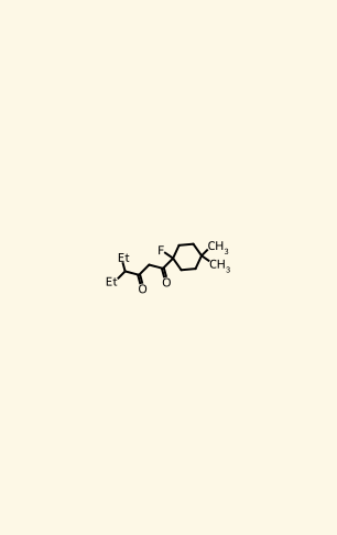 CCC(CC)C(=O)CC(=O)C1(F)CCC(C)(C)CC1